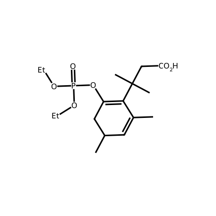 CCOP(=O)(OCC)OC1=C(C(C)(C)CC(=O)O)C(C)=CC(C)C1